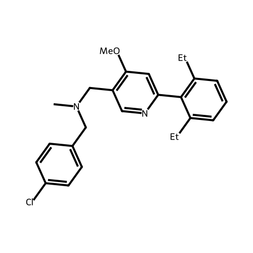 CCc1cccc(CC)c1-c1cc(OC)c(CN(C)Cc2ccc(Cl)cc2)cn1